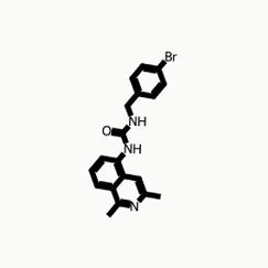 Cc1cc2c(NC(=O)NCc3ccc(Br)cc3)cccc2c(C)n1